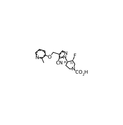 Cc1ncccc1OCc1cnn([C@@H]2CCN(C(=O)O)C[C@@H]2F)c1C#N